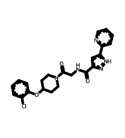 O=C(NCC(=O)N1CCC(Oc2ccccc2Cl)CC1)c1cc(-c2ccccn2)[nH]n1